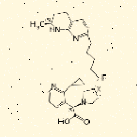 C[C@H]1CCc2ccc(CCCCC(F)[C@@H]3CCN([C@@H](C(=O)O)c4cccnc4C4CC4)C3)nc2N1